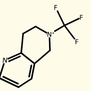 FC(F)(F)[N+]1CCc2ncccc2C1